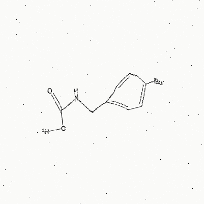 [3H]OC(=O)NCc1ccc(C(C)CC)cc1